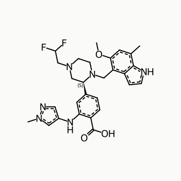 COc1cc(C)c2[nH]ccc2c1CN1CCN(CC(F)F)C[C@@H]1c1ccc(C(=O)O)c(Nc2cnn(C)c2)c1